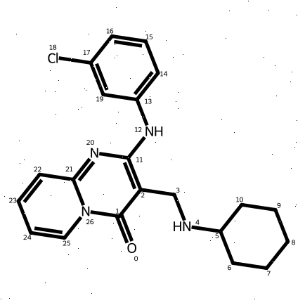 O=c1c(CNC2CCCCC2)c(Nc2cccc(Cl)c2)nc2ccccn12